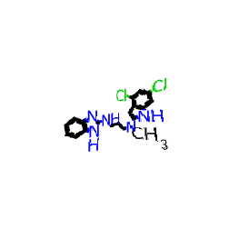 CN(CCCNc1nc2ccccc2[nH]1)c1cc2c(Cl)cc(Cl)cc2[nH]1